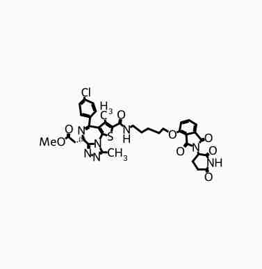 COC(=O)C[C@@H]1N=C(c2ccc(Cl)cc2)c2c(sc(C(=O)NCCCCCOc3cccc4c3C(=O)N(C3CCC(=O)NC3=O)C4=O)c2C)-n2c(C)nnc21